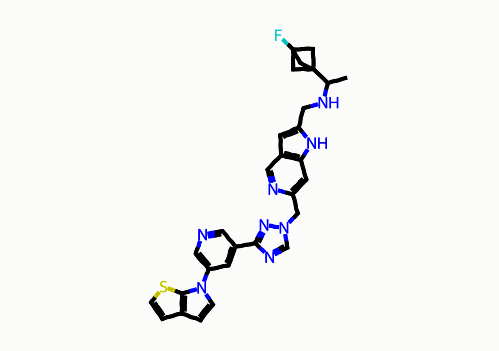 CC(NCc1cc2cnc(Cn3cnc(-c4cncc(-n5ccc6ccsc65)c4)n3)cc2[nH]1)C12CC(F)(C1)C2